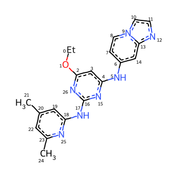 CCOc1cc(Nc2ccn3ccnc3c2)nc(Nc2cc(C)cc(C)n2)n1